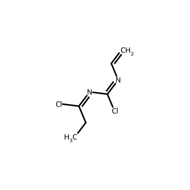 C=C/N=C(Cl)\N=C(\Cl)CC